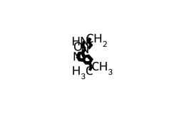 C=C1CCN(c2cncc3cc(C(C)C)ccc23)C(=O)N1